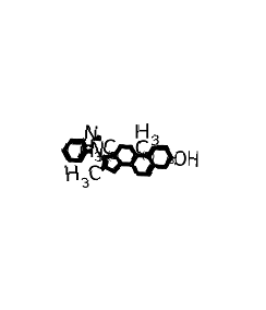 CC1=C(n2cnc3ccccc32)[C@@]2(C)CCC3C(CC=C4C[C@@H](O)CC[C@@]43C)C2C1